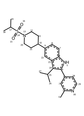 Cc1cc(-c2[nH]c3ccc(C4CCN(S(=O)(=O)C(C)C)CC4)cc3c2C(C)C)ccn1